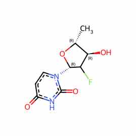 C[C@H]1O[C@@H](n2ccc(=O)[nH]c2=O)C(F)[C@@H]1O